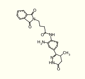 CC1CC(=O)NN=C1c1ccc(NC(=O)CCCN2C(=O)c3ccccc3C2=O)c(N)c1